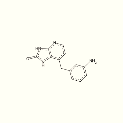 Nc1cccc(Cc2ccnc3[nH]c(=O)[nH]c23)c1